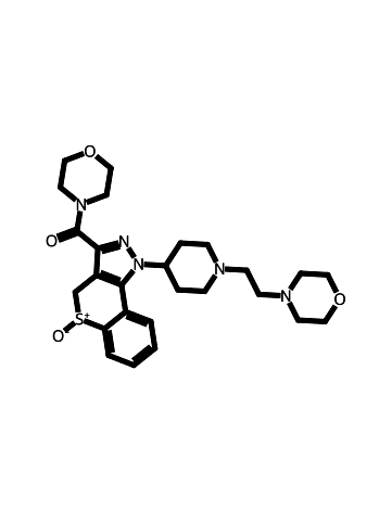 O=C(c1nn(C2CCN(CCN3CCOCC3)CC2)c2c1C[S+]([O-])c1ccccc1-2)N1CCOCC1